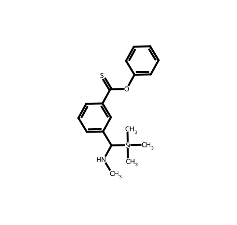 CNC(c1cccc(C(=S)Oc2ccccc2)c1)[Si](C)(C)C